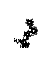 Nc1cc(Cc2cnn(Cc3ccccc3OCc3ccccc3)c2)c2nn[nH]c2n1